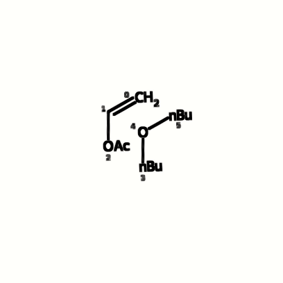 C=COC(C)=O.CCCCOCCCC